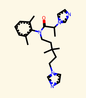 Cc1cccc(C)c1N(CCC(C)(C)CCn1ccnc1)C(=O)C(C)n1ccnc1